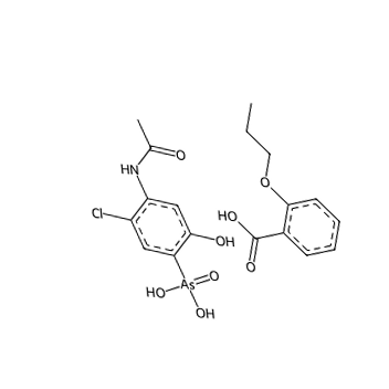 CC(=O)Nc1cc(O)c([As](=O)(O)O)cc1Cl.CCCOc1ccccc1C(=O)O